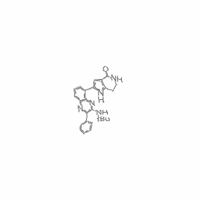 CC(C)(C)Nc1nc2c(-c3cc4c([nH]3)CCNC4=O)cccc2nc1-c1ccccc1